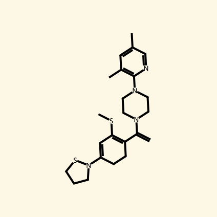 C=C(C1=C(SC)C=C(N2CCCS2)CC1)N1CCN(c2ncc(C)cc2C)CC1